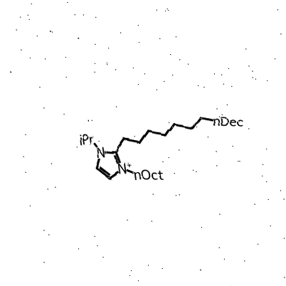 CCCCCCCCCCCCCCCCCc1n(C(C)C)cc[n+]1CCCCCCCC